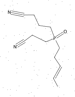 C/C=C/CCP(=O)(CCC#N)CCCC#N